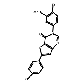 CCc1ccc(-n2cnc3cc(-c4ccc(Cl)cc4)sc3c2=O)cc1OC